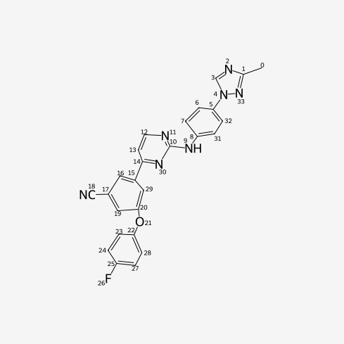 Cc1ncn(-c2ccc(Nc3nccc(-c4cc(C#N)cc(Oc5ccc(F)cc5)c4)n3)cc2)n1